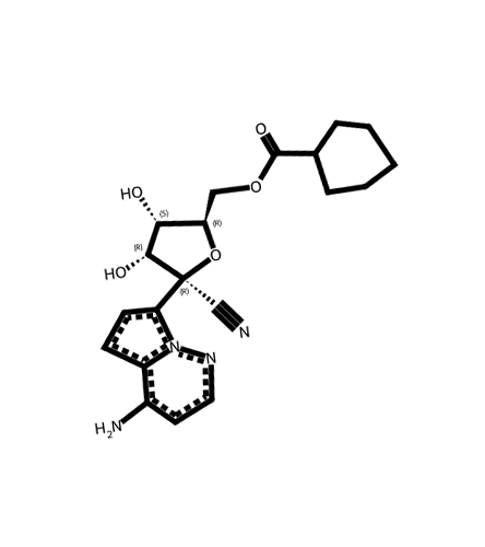 N#C[C@@]1(c2ccc3c(N)ccnn23)O[C@H](COC(=O)C2CCCCC2)[C@@H](O)[C@H]1O